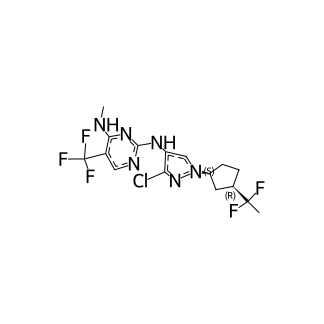 CNc1nc(Nc2cn([C@H]3CC[C@@H](C(C)(F)F)C3)nc2Cl)ncc1C(F)(F)F